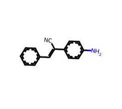 N#C/C(=C\c1ccccc1)c1ccc(N)cc1